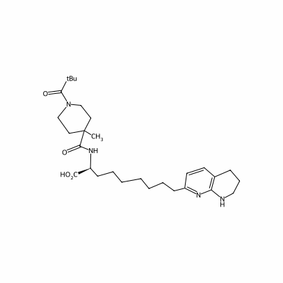 CC(C)(C)C(=O)N1CCC(C)(C(=O)N[C@@H](CCCCCCCc2ccc3c(n2)NCCC3)C(=O)O)CC1